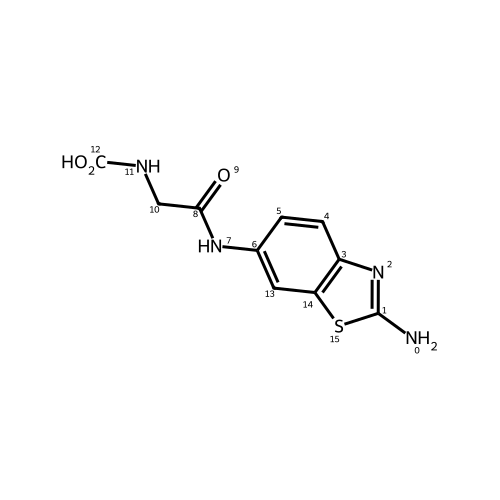 Nc1nc2ccc(NC(=O)CNC(=O)O)cc2s1